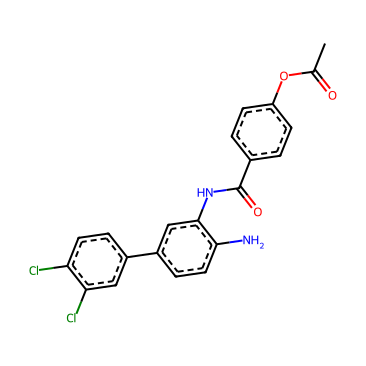 CC(=O)Oc1ccc(C(=O)Nc2cc(-c3ccc(Cl)c(Cl)c3)ccc2N)cc1